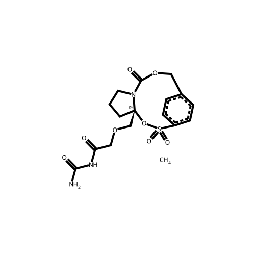 C.NC(=O)NC(=O)COC[C@@]12CCCN1C(=O)OCc1ccc(cc1)S(=O)(=O)O2